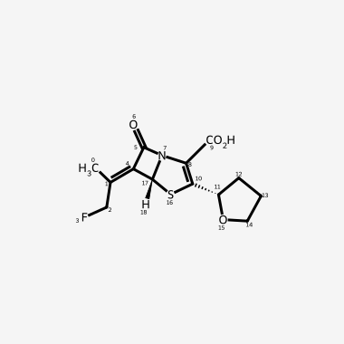 C/C(CF)=C1\C(=O)N2C(C(=O)O)=C([C@@H]3CCCO3)S[C@H]12